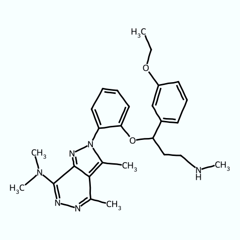 CCOc1cccc(C(CCNC)Oc2ccccc2-n2nc3c(N(C)C)nnc(C)c3c2C)c1